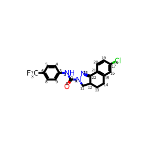 O=C(Nc1ccc(C(F)(F)F)cc1)N1CC2CCc3cc(Cl)ccc3C2=N1